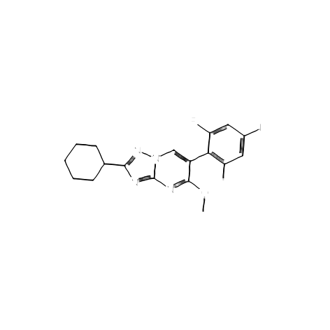 COc1nc2nc(C3CCCCC3)nn2cc1-c1c(F)cc(F)cc1F